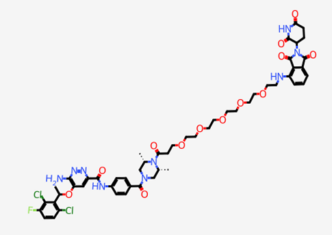 CC(Oc1cc(C(=O)Nc2ccc(C(=O)N3C[C@@H](C)N(C(=O)CCOCCOCCOCCOCCOCCNc4cccc5c4C(=O)N(C4CCC(=O)NC4=O)C5=O)[C@@H](C)C3)cc2)nnc1N)c1c(Cl)ccc(F)c1Cl